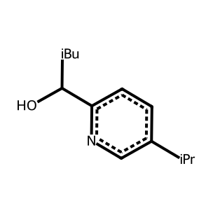 CCC(C)C(O)c1ccc(C(C)C)cn1